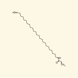 C=CC(=O)NCCCCCCCCCCCCCCCCCCCCCCCCCCCCCCCCCC